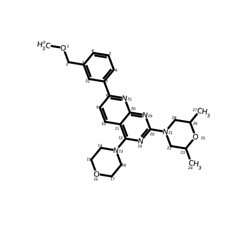 COCc1cccc(-c2ccc3c(N4CCOCC4)nc(N4CC(C)OC(C)C4)nc3n2)c1